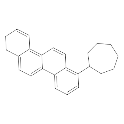 C1=Cc2c(ccc3c2ccc2c(C4CCCCCC4)cccc23)CC1